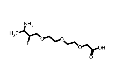 CC(N)C(F)COCCOCCOCC(=O)O